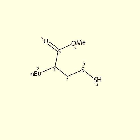 CCCCC(CSS)C(=O)OC